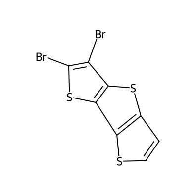 Brc1sc2c(sc3ccsc32)c1Br